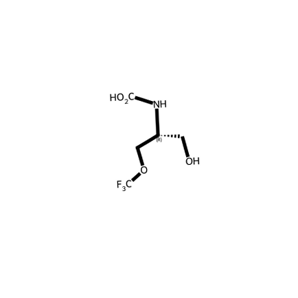 O=C(O)N[C@H](CO)COC(F)(F)F